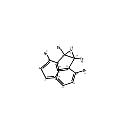 CCC1(c2ccccc2Br)NC1(CC)c1ccccc1Br